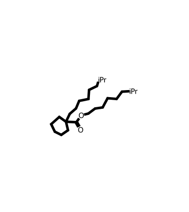 CC(C)CCCCCCOC(=O)C1(CCCCCCC(C)C)CCCCC1